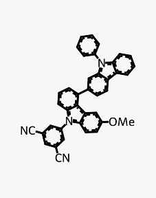 COc1ccc2c(c1)c1c(-c3ccc4c5ccccc5n(-c5ccccc5)c4c3)cccc1n2-c1cc(C#N)cc(C#N)c1